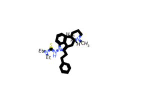 CCN(CC)C(=S)Nn1c(CCc2ccccc2)c2c3c(cccc31)[C@H]1CCCN(C)[C@@H]1C2